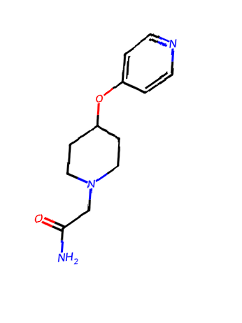 NC(=O)CN1CCC(Oc2ccncc2)CC1